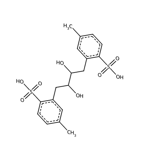 Cc1ccc(S(=O)(=O)O)c(CC(O)C(O)Cc2cc(C)ccc2S(=O)(=O)O)c1